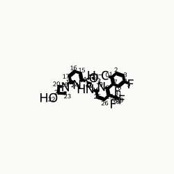 Cc1ccc(F)cc1-c1nc(N[S+]([O-])c2cccc(N3CC(O)C3)n2)ccc1C(F)(F)F